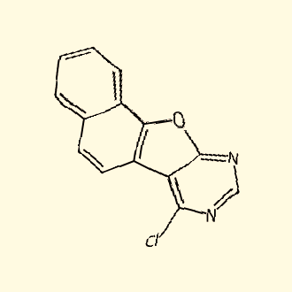 Clc1ncnc2oc3c4ccccc4ccc3c12